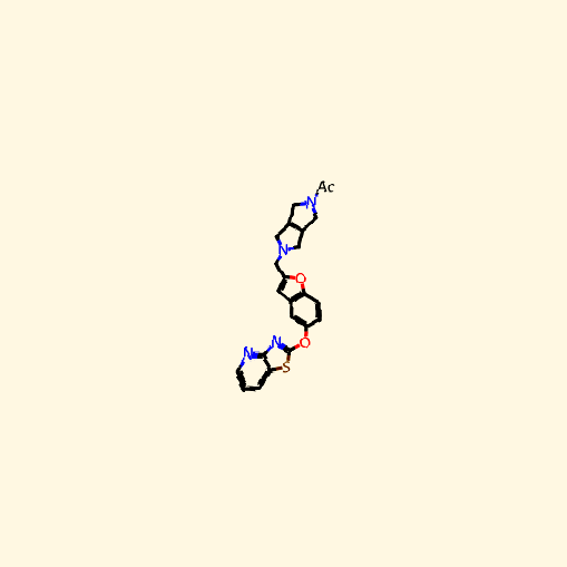 CC(=O)N1CC2CN(Cc3cc4cc(Oc5nc6ncccc6s5)ccc4o3)CC2C1